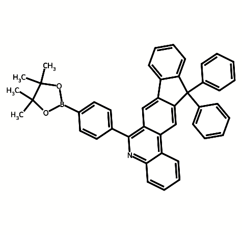 CC1(C)OB(c2ccc(-c3nc4ccccc4c4cc5c(cc34)-c3ccccc3C5(c3ccccc3)c3ccccc3)cc2)OC1(C)C